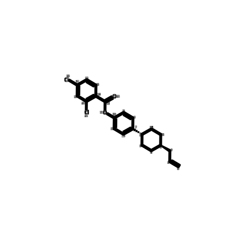 C=CC[C@H]1CC[C@H](c2ccc(OC(=O)c3ccc(Cl)cc3Cl)cc2)CC1